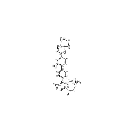 CC1CC[C@](C)(N)C[C@H](N(c2ncc(-c3ccc(-c4cnc5c(n4)OCCO5)cc3O)nn2)C2CC2)[C@@H]1F